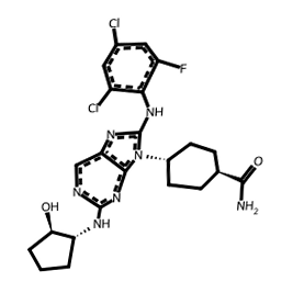 NC(=O)[C@H]1CC[C@H](n2c(Nc3c(F)cc(Cl)cc3Cl)nc3cnc(N[C@@H]4CCC[C@H]4O)nc32)CC1